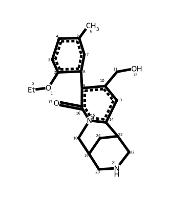 CCOc1ccc(C)cc1-c1c(CO)cc2n(c1=O)CC1CNCC2C1